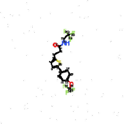 O=C(CCc1ccc(-c2ccc(OC(F)(F)F)cc2)s1)NCC(F)(F)F